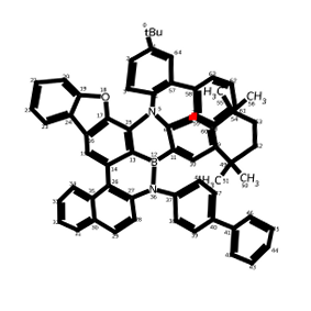 CC(C)(C)c1ccc(N2c3cc4c(cc3B3c5c(cc6c(oc7ccccc76)c52)-c2c(ccc5ccccc25)N3c2ccc(-c3ccccc3)cc2)C(C)(C)CCC4(C)C)c(-c2ccccc2)c1